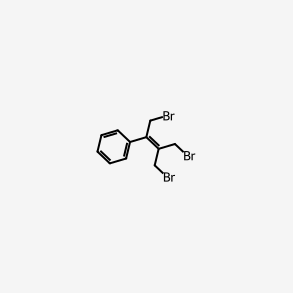 BrCC(CBr)=C(CBr)c1ccccc1